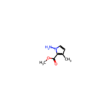 COC(=O)c1c(C)ccn1N